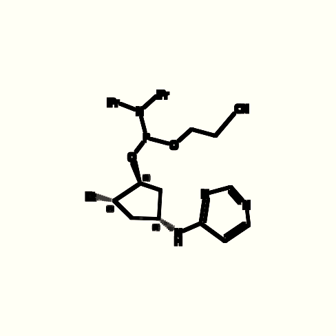 CC[C@H]1C[C@@H](Nc2ccncn2)C[C@@H]1OP(OCCC#N)N(C(C)C)C(C)C